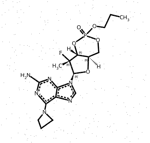 CCCOP1(=O)OC[C@H]2O[C@@H](n3cnc4c(N5CCC5)nc(N)nc43)[C@](C)(F)[C@@H]2O1